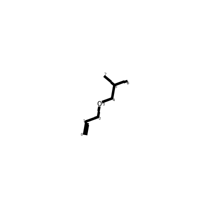 C=C[CH]OCC(C)C